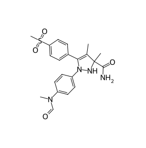 CC1=C(c2ccc(S(C)(=O)=O)cc2)N(c2ccc(N(C)C=O)cc2)NC1(C)C(N)=O